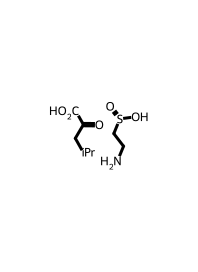 CC(C)CC(=O)C(=O)O.NCCS(=O)O